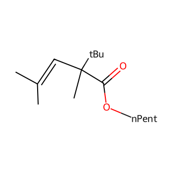 CCCCCOC(=O)C(C)(C=C(C)C)C(C)(C)C